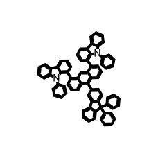 c1ccc(-n2c3ccccc3c3cccc(-c4cccc5c(-c6ccc7c(c6)-c6ccccc6C7(c6ccccc6)c6ccccc6)c6cccc(-c7cccc8c9ccccc9n(-c9ccccc9)c78)c6cc45)c32)cc1